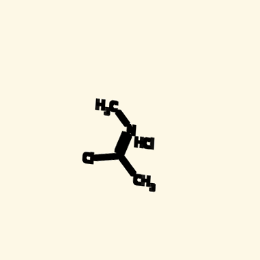 CN=C(C)Cl.Cl